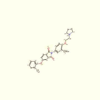 COc1cc(N2C(=O)c3ccc(Oc4ccccc4C(F)(F)F)cc3C2=O)ccc1OCCN1CCCC1